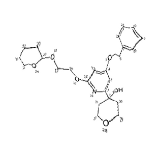 OC1(c2cc(OCc3ccccc3)cc(OCCOC3CCCCO3)n2)CCOCC1